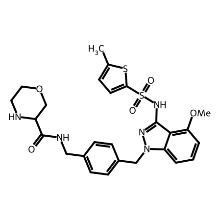 COc1cccc2c1c(NS(=O)(=O)c1ccc(C)s1)nn2Cc1ccc(CNC(=O)C2COCCN2)cc1